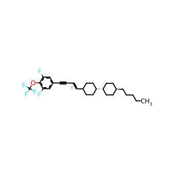 CCCCC[C@H]1CC[C@H](C2CCC(/C=C/C#Cc3cc(F)c(OC(F)(F)F)c(F)c3)CC2)CC1